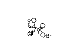 Brc1ccc2c(c1)C(c1ccccc1)[C]([Zr+2][C]1=Cc3c4cccc3C1c1cccc(c1)S4)=C2.[Cl-].[Cl-]